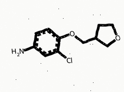 Nc1ccc(OCC2CCOC2)c(Cl)c1